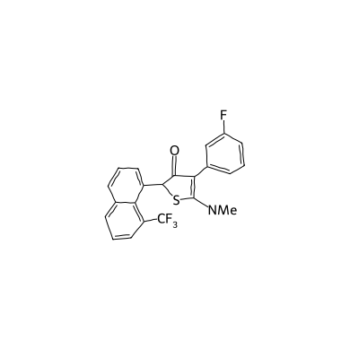 CNC1=C(c2cccc(F)c2)C(=O)C(c2cccc3cccc(C(F)(F)F)c23)S1